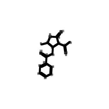 CC(=O)C1C(=O)OC(C)C1CC(=O)c1ccccc1